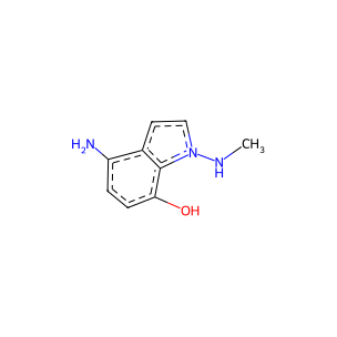 CNn1ccc2c(N)ccc(O)c21